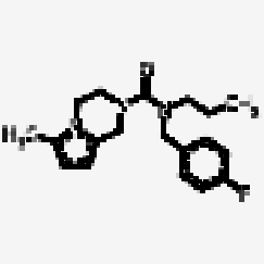 CCCN(Cc1ccc(F)cc1)C(=O)N1CCn2c(C)ccc2C1